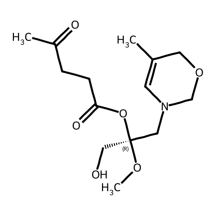 CO[C@](CO)(CN1C=C(C)COC1)OC(=O)CCC(C)=O